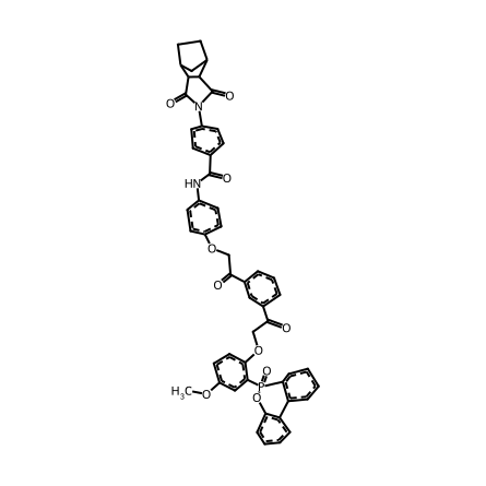 COc1ccc(OCC(=O)c2cccc(C(=O)COc3ccc(NC(=O)c4ccc(N5C(=O)C6C7CCC(C7)C6C5=O)cc4)cc3)c2)c(P2(=O)Oc3ccccc3-c3ccccc32)c1